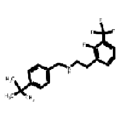 CC(C)(C)c1ccc(CNCCc2cccc(C(F)(F)F)c2F)cc1